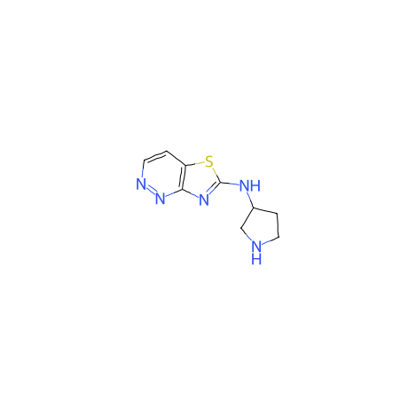 c1cc2sc(NC3CCNC3)nc2nn1